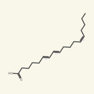 CCCC/C=C\CCC/C=C/C=C/CCCCC(=O)O